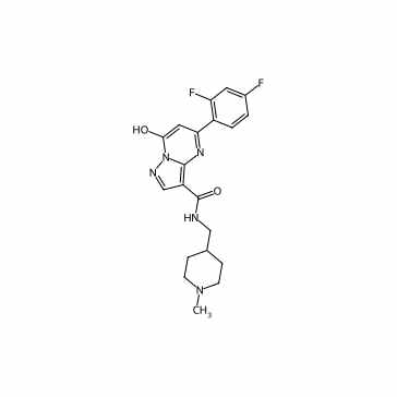 CN1CCC(CNC(=O)c2cnn3c(O)cc(-c4ccc(F)cc4F)nc23)CC1